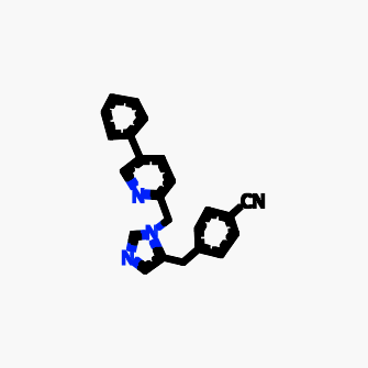 N#Cc1ccc(Cc2cncn2Cc2ccc(-c3ccccc3)cn2)cc1